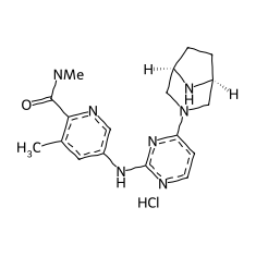 CNC(=O)c1ncc(Nc2nccc(N3C[C@H]4CC[C@@H](C3)N4)n2)cc1C.Cl